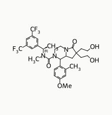 COc1ccc(C2C3CC(CCO)(CCO)C(=O)N3CCN2C(=O)N(C)[C@H](C)c2cc(C(F)(F)F)cc(C(F)(F)F)c2)c(C)c1